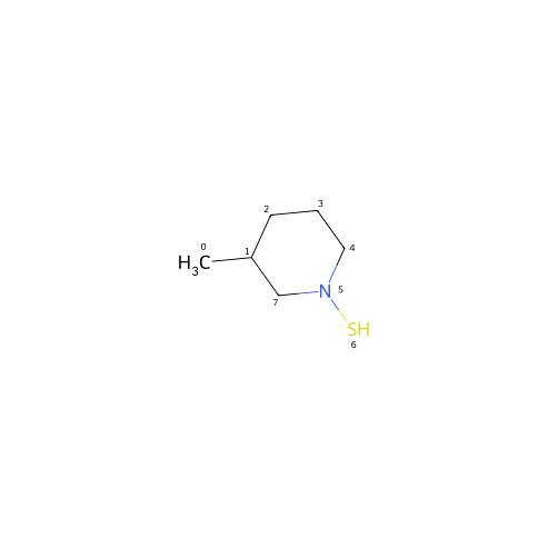 CC1CCCN(S)C1